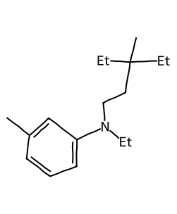 CCN(CCC(C)(CC)CC)c1cccc(C)c1